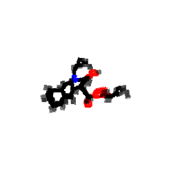 CCOC(=O)C1C(=O)N(CC)c2cc3ccccc3cc21